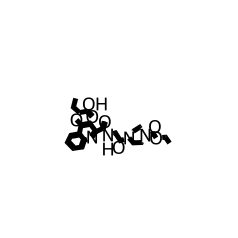 CCOC(=O)N1CCN(C(=O)CNC(=O)c2cc(OC(CC)C(=O)O)c3ccccc3n2)CC1